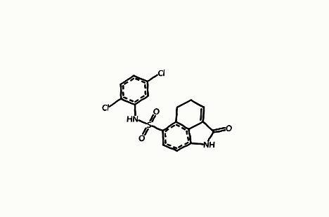 O=C1Nc2ccc(S(=O)(=O)Nc3cc(Cl)ccc3Cl)c3c2C1=CCC3